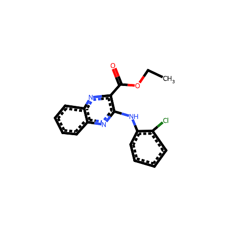 CCOC(=O)c1nc2ccccc2nc1Nc1ccccc1Cl